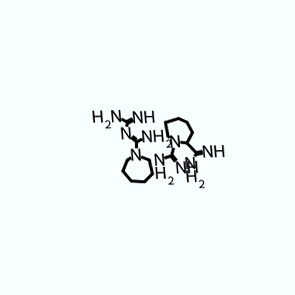 N=C(N)C1CCCCCN1C(=N)N.N=C(N)N=C(N)N1CCCCCC1